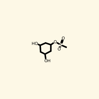 CS(=O)(=O)OC1CC(O)CC(O)C1